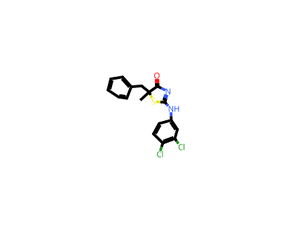 CC1(Cc2ccccc2)SC(Nc2ccc(Cl)c(Cl)c2)=NC1=O